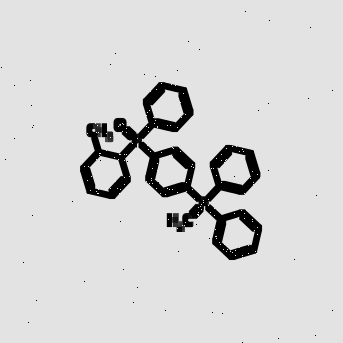 C=P(c1ccccc1)(c1ccccc1)c1ccc(P(=O)(c2ccccc2)C2C=CC=CC2C)cc1